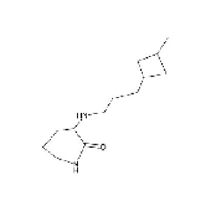 CC1CC(CCCNC2CCCNC2=O)C1